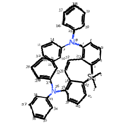 C[Si]1(C)c2cccc(N(c3ccccc3)c3ccccc3)c2C=Cc2c(N(c3ccccc3)c3ccccc3)cccc21